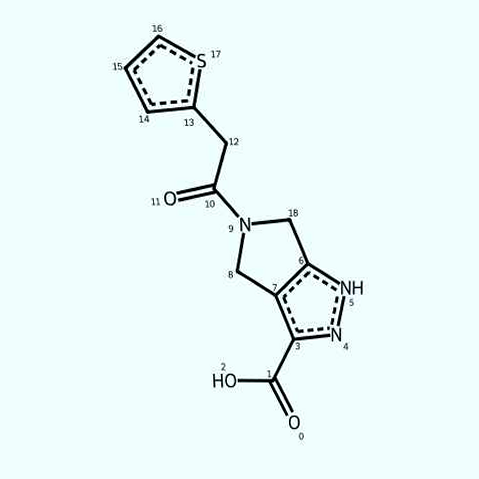 O=C(O)c1n[nH]c2c1CN(C(=O)Cc1cccs1)C2